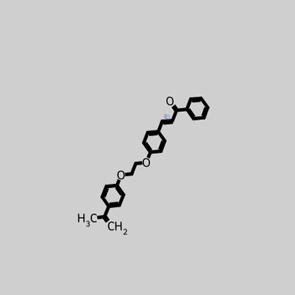 C=C(C)c1ccc(OCCOc2ccc(/C=C/C(=O)c3ccccc3)cc2)cc1